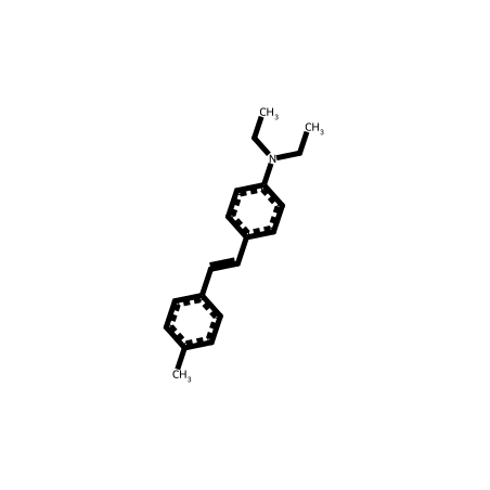 CCN(CC)c1ccc(/C=C/c2ccc(C)cc2)cc1